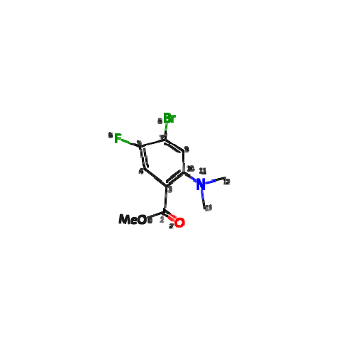 COC(=O)c1cc(F)c(Br)cc1N(C)C